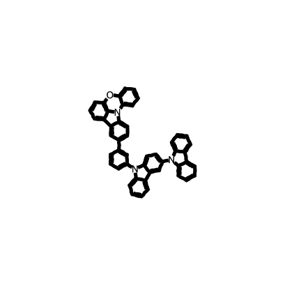 c1cc(-c2ccc3c(c2)c2cccc4c2n3-c2ccccc2O4)cc(-n2c3ccccc3c3cc(-n4c5ccccc5c5ccccc54)ccc32)c1